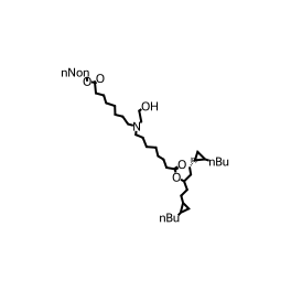 CCCCCCCCCOC(=O)CCCCCCCN(CCO)CCCCCCCC(=O)OC(CCC1CC1CCCC)CC[C@@H]1CC1CCCC